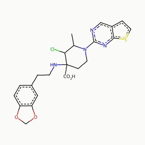 CC1C(Cl)C(NCCc2ccc3c(c2)OCO3)(C(=O)O)CCN1c1ncc2ccsc2n1